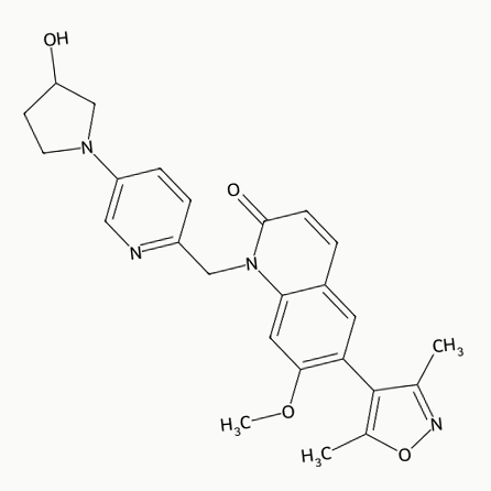 COc1cc2c(ccc(=O)n2Cc2ccc(N3CCC(O)C3)cn2)cc1-c1c(C)noc1C